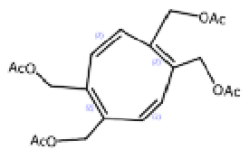 CC(=O)OCC1=C(COC(C)=O)/C=C\C(COC(C)=O)=C(COC(C)=O)/C=C\1